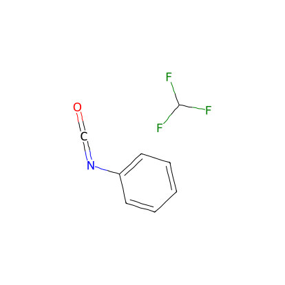 FC(F)F.O=C=Nc1ccccc1